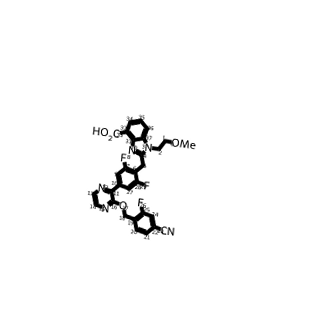 COCCn1c(Cc2c(F)cc(-c3nccnc3OCc3ccc(C#N)cc3F)cc2F)nc2c(C(=O)O)cccc21